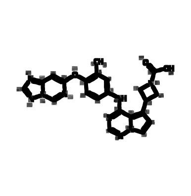 Cc1cc(Nc2ncnn3ccc(C4CN(C(=O)O)C4)c23)ccc1Oc1cc2ncnn2cn1